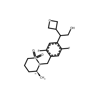 C[C@H]1CCCS(=O)(=O)N1Cc1cc(F)c(C(CO)C2COC2)cc1F